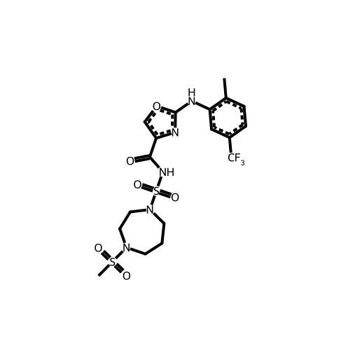 Cc1ccc(C(F)(F)F)cc1Nc1nc(C(=O)NS(=O)(=O)N2CCCN(S(C)(=O)=O)CC2)co1